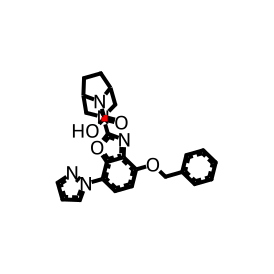 O=C(O)N1C2CCC1CN(c1nc3c(OCc4ccccc4)ccc(-n4cccn4)c3o1)C2